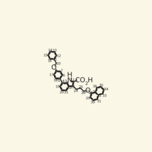 O=C(O)c1[nH]c2c(-c3ccc(OCc4ccccc4)cc3)cccc2c1CCCOc1cccc2ccccc12